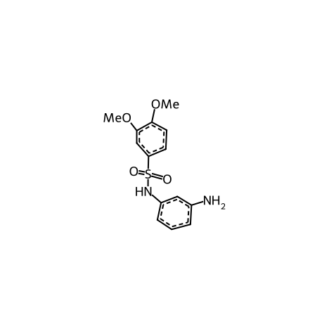 COc1ccc(S(=O)(=O)Nc2cccc(N)c2)cc1OC